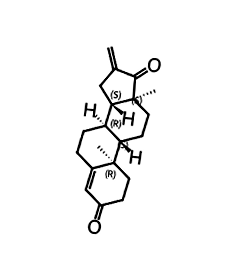 C=C1C[C@H]2[C@@H]3CCC4=CC(=O)CC[C@]4(C)[C@H]3CC[C@]2(C)C1=O